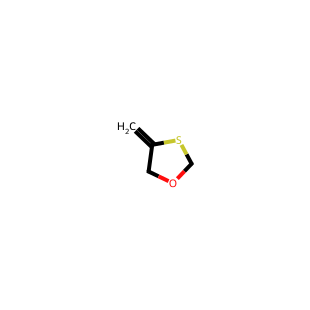 C=C1COCS1